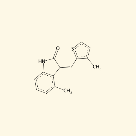 Cc1ccsc1C=C1C(=O)Nc2cccc(C)c21